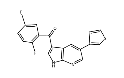 O=C(c1cc(F)ccc1F)c1c[nH]c2ncc(-c3ccsc3)cc12